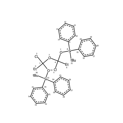 CCC(Cl)(OC(Cl)(CC)O[Si](c1ccccc1)(c1ccccc1)C(C)(C)C)O[Si](c1ccccc1)(c1ccccc1)C(C)(C)C